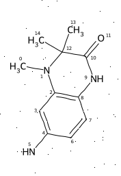 CN1c2cc([NH])ccc2NC(=O)C1(C)C